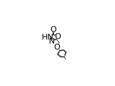 Cc1ccc(OCc2n[nH]c(=O)o2)cc1